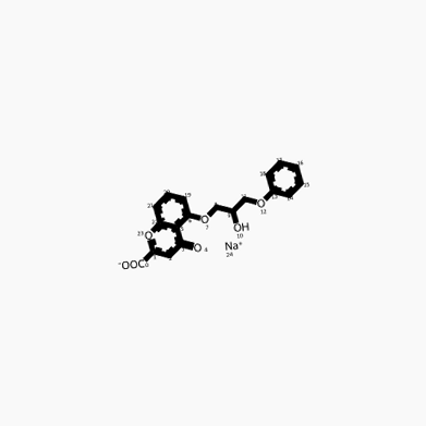 O=C([O-])c1cc(=O)c2c(OCC(O)COc3ccccc3)cccc2o1.[Na+]